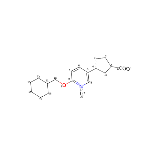 O=C([O-])C1CCC(c2ccc(OCC3CCCCC3)nc2)C1.[Li+]